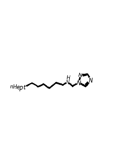 CCCCCCCCCCCCCNCn1cncn1